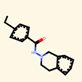 CCc1ccc(C(=O)NN2CCc3ccccc3C2)cc1